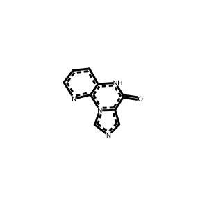 O=c1[nH]c2cccnc2n2cncc12